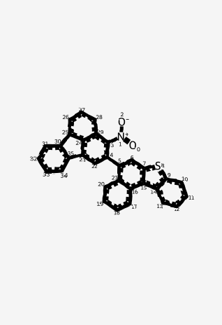 O=[N+]([O-])c1c(-c2cc3sc4ccccc4c3c3ccccc23)cc2c3c(cccc13)-c1ccccc1-2